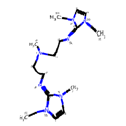 CN(CCN=c1n(C)ccn1C)CCN=c1n(C)ccn1C